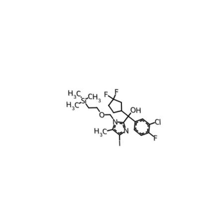 Cc1c(I)nc(C(O)(c2ccc(F)c(Cl)c2)C2CCC(F)(F)C2)n1COCC[Si](C)(C)C